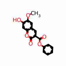 COc1cc2cc(C(=O)Oc3ccccc3)c(=O)oc2cc1O